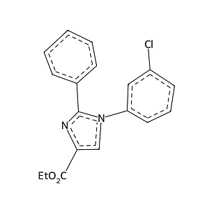 CCOC(=O)c1cn(-c2cccc(Cl)c2)c(-c2ccccc2)n1